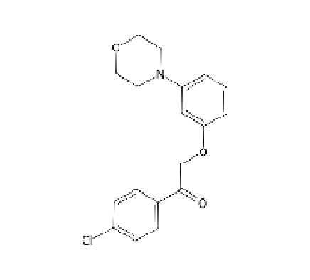 O=C(COc1cccc(N2CCOCC2)c1)c1ccc(Cl)cc1